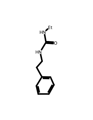 CCNC(=O)NCCc1ccccc1